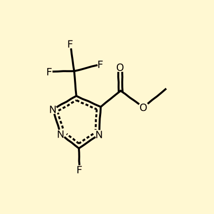 COC(=O)c1nc(F)nnc1C(F)(F)F